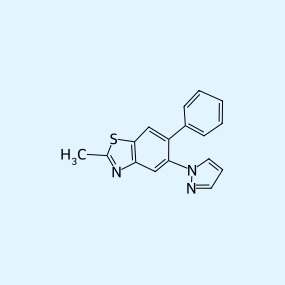 Cc1nc2cc(-n3cccn3)c(-c3ccccc3)cc2s1